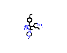 C=C/C=C(\C=C/N)C1=C(c2ccc(CC)cc2)NNC1(C)N1CCN(C)CC1